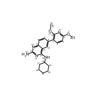 CCOc1ccc(-c2ccc3nc(N)nc(NC4CCCCC4)c3c2)c(OCC)n1